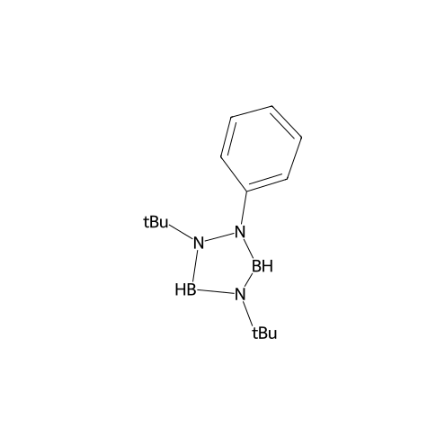 CC(C)(C)N1BN(c2ccccc2)N(C(C)(C)C)B1